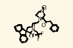 O=C(Cc1ccccc1)C1CN(Cl)CCN1CCCCC1(C(=O)NCC(F)(F)F)c2ccccc2-c2ccccc21